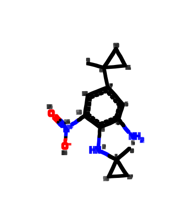 CC1(Nc2c(N)cc(C3(C)CC3)cc2[N+](=O)[O-])CC1